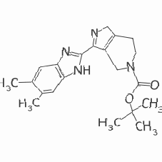 Cc1cc2nc(C3=NCC4=C3CN(C(=O)OC(C)(C)C)CC4)[nH]c2cc1C